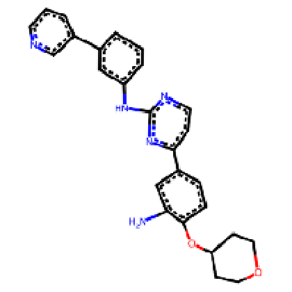 Nc1cc(-c2ccnc(Nc3cccc(-c4cccnc4)c3)n2)ccc1OC1CCOCC1